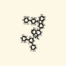 C=C(/C=C\c1c(C)n(-c2cc(-c3ccccc3)cc(-c3ccccc3)c2)c2ccccc12)c1ccc2c3ccccc3n(-c3ccc(-c4ccccc4)cc3)c2c1